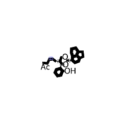 CC(=O)CC/C=C\C[C@@H]1CO[C@H](c2ccc3c4c(cccc24)CC3)O[C@@H]1c1ccccc1O